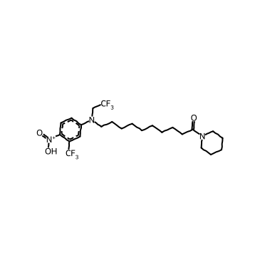 O=C(CCCCCCCCCN(CC(F)(F)F)c1ccc([N+](=O)O)c(C(F)(F)F)c1)N1CCCCC1